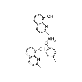 Cc1ccc([O][AlH2])cc1.Cc1ccc2cccc(O)c2n1.Cc1ccc2cccc(O)c2n1